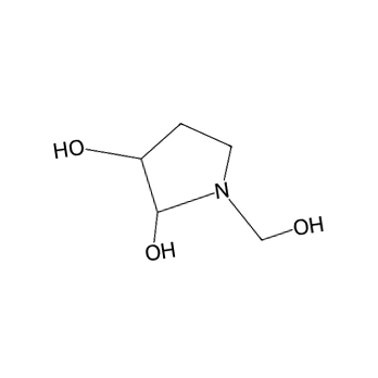 OCN1CCC(O)C1O